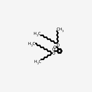 CCCCCCCCCCC(CCCCCCC)OC(=O)c1ccccc1C(=O)OC(CCCCCCC)CCCCCCCCCC